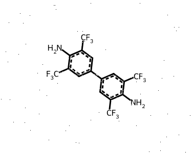 Nc1c(C(F)(F)F)cc(-c2cc(C(F)(F)F)c(N)c(C(F)(F)F)c2)cc1C(F)(F)F